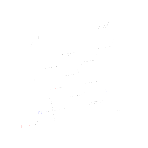 CCS(=O)(=O)Cc1ccc(C(=O)c2ccc(F)cc2)c(-c2cnc(OC)cc2C(COC)CC(C)(C)NC(=O)O)c1